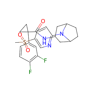 CS(=O)(=O)c1ccc(N2C3CCC2CC(NC(=O)C2(c4ccc(F)c(F)c4)CC2)C3)nc1